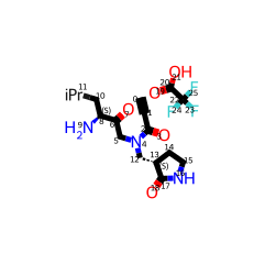 C#CC(=O)N(CC(=O)[C@@H](N)CC(C)C)C[C@@H]1CCNC1=O.O=C(O)C(F)(F)F